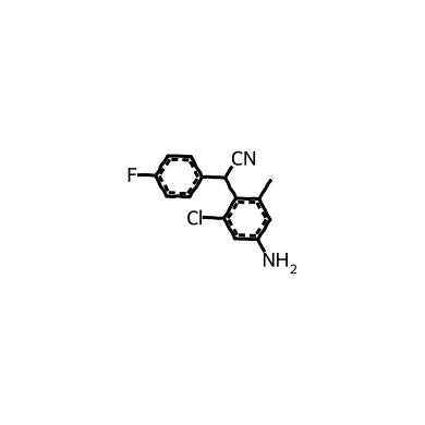 Cc1cc(N)cc(Cl)c1C(C#N)c1ccc(F)cc1